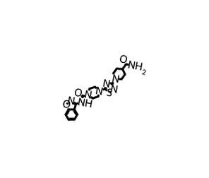 NC(=O)C1CCN(c2nsc(N3CCN(C(=O)Nc4noc5ccccc45)CC3)n2)CC1